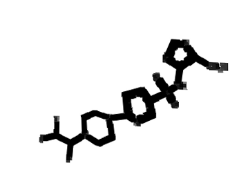 O=C(O)c1ncsc1NS(=O)(=O)c1ccc(N2CCN(C(F)C(F)F)CC2)nc1